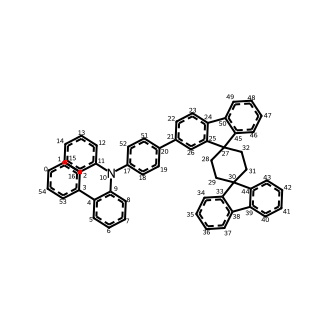 c1ccc(-c2ccccc2N(c2ccccc2)c2ccc(-c3ccc4c(c3)C3(CCC5(CC3)c3ccccc3-c3ccccc35)c3ccccc3-4)cc2)cc1